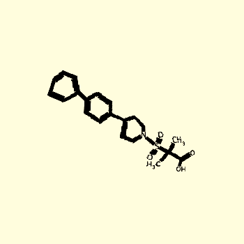 CC(C)(C(=O)O)S(=O)(=O)N1CC=C(c2ccc(-c3ccccc3)cc2)CC1